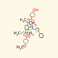 CCCC(C)(OC(=O)C1CCC(OC)CC1)c1ccc(C(C)(CC)OC(=O)C2CCC(O)CC2)c2nc(-c3ccc(-c4ccccc4)s3)sc12